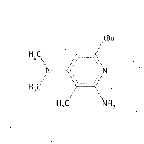 Cc1c(N(C)C)cc(C(C)(C)C)nc1N